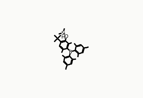 Cc1cc(C)c(B(c2c(C)cc(C)cc2C)c2c(C)cc(C(C)(C)C)c(O[SiH](C)C)c2C)c(C)c1